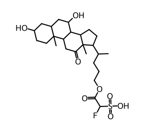 CC(CCCOC(=O)C(F)S(=O)(=O)O)C1CCC2C3C(O)CC4CC(O)CCC4(C)C3CC(=O)C12C